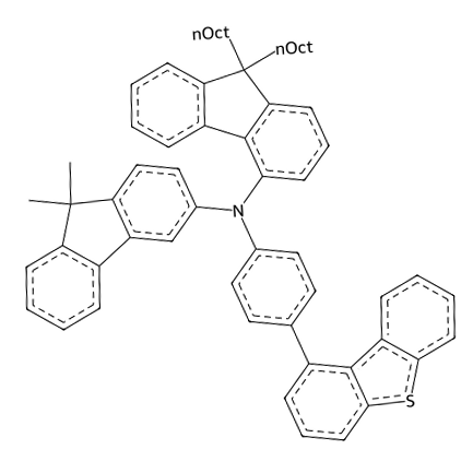 CCCCCCCCC1(CCCCCCCC)c2ccccc2-c2c(N(c3ccc(-c4cccc5sc6ccccc6c45)cc3)c3ccc4c(c3)-c3ccccc3C4(C)C)cccc21